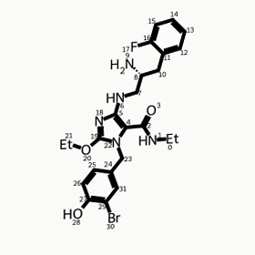 CCNC(=O)c1c(NC[C@H](N)Cc2ccccc2F)nc(OCC)n1Cc1ccc(O)c(Br)c1